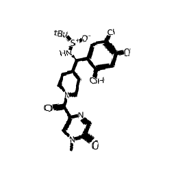 Cn1cc(C(=O)N2CCC([C@@H](N[S+]([O-])C(C)(C)C)c3cc(Cl)c(Cl)cc3O)CC2)ncc1=O